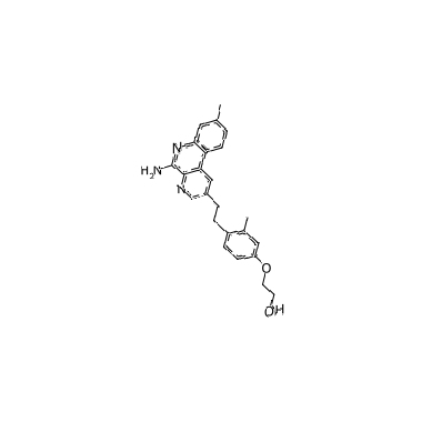 Cc1ccc2c(c1)nc(N)c1ncc(CCc3ccc(OCCO)cc3C)cc12